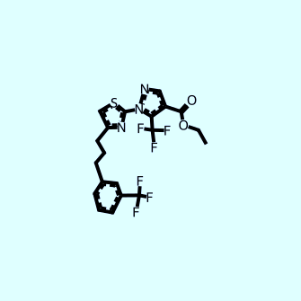 CCOC(=O)c1cnn(-c2nc(CCCc3cccc(C(F)(F)F)c3)cs2)c1C(F)(F)F